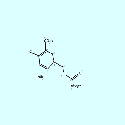 Br.CCCCCCCC(=O)OCN1C=CC(C)=C(C(=O)O)C1